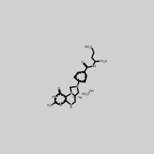 Nc1nc2c(c(=O)[nH]1)N1CN(c3ccc(C(=O)NC(CCC(=O)O)C(=O)O)cc3)C[C@H]1CN2.O=S(=O)(O)O